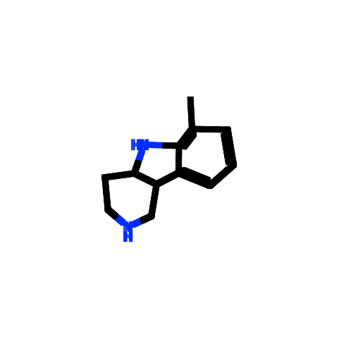 Cc1cccc2c1NC1CCNCC21